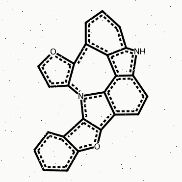 c1ccc2c(c1)oc1c3ccc4[nH]c5cccc6c7occc7n(c21)c3c4c56